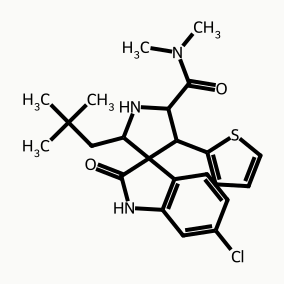 CN(C)C(=O)C1NC(CC(C)(C)C)C2(C(=O)Nc3cc(Cl)ccc32)C1c1cccs1